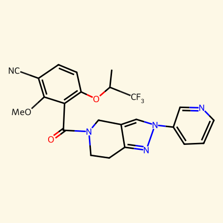 COc1c(C#N)ccc(OC(C)C(F)(F)F)c1C(=O)N1CCc2nn(-c3cccnc3)cc2C1